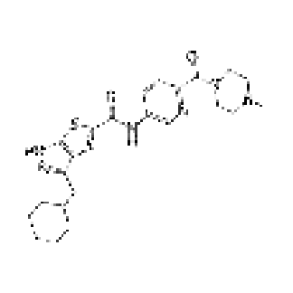 CN1CCN(C(=O)c2ccc(NC(=O)c3cc4c(CC5CCCCC5)n[nH]c4s3)cn2)CC1